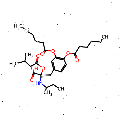 CCCCCC(=O)Oc1ccc(C[C@](NC(C)CC)(OC(=O)CC(C)C)C(=O)O)cc1OC(=O)CCCCC